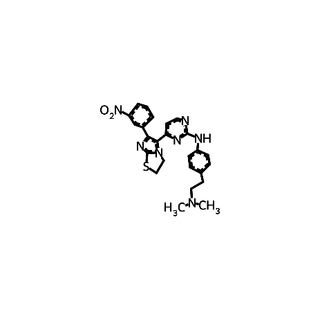 CN(C)CCc1ccc(Nc2nccc(-c3c(-c4cccc([N+](=O)[O-])c4)nc4n3CCS4)n2)cc1